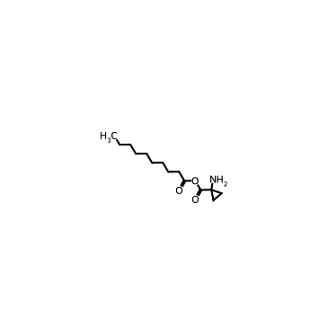 CCCCCCCCCC(=O)OC(=O)C1(N)CC1